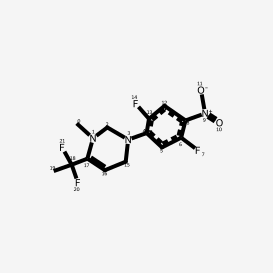 CN1CN(c2cc(F)c([N+](=O)[O-])cc2F)CC=C1C(C)(F)F